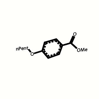 CCCCCOc1ccc(C(=O)OC)cc1